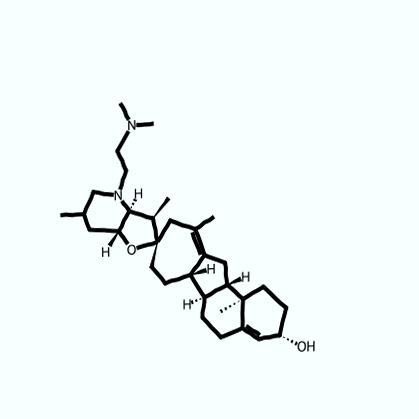 CC1=C2C[C@H]3[C@@H](CCC4=C[C@@H](O)CC[C@@]43C)[C@@H]2CC[C@@]2(C1)O[C@@H]1CC(C)CN(CCN(C)C)[C@H]1[C@H]2C